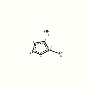 CC(C)n1ccnc1.F